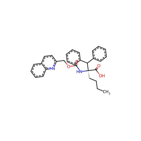 CCCC[C@@](NC(=O)OCc1ccc2ccccc2n1)(C(=O)O)C(c1ccccc1)c1ccccc1